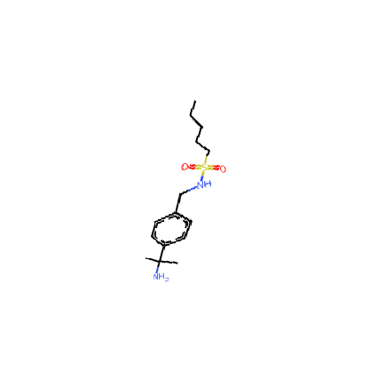 CCCCCS(=O)(=O)NCc1ccc(C(C)(C)N)cc1